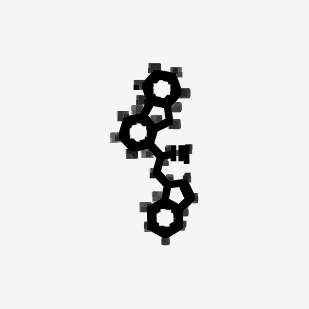 [Hf][CH](CC1C=Cc2ccccc21)c1cccc2c1Cc1ccccc1-2